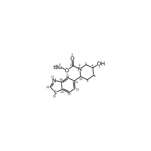 CC(C)(C)OC(=O)N1CC(O)CCC1c1ccc2scnc2c1